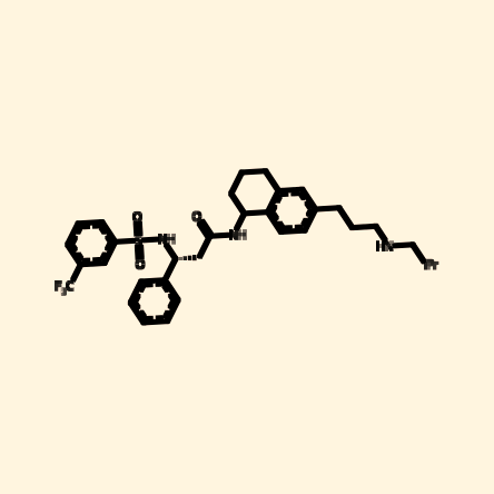 CC(C)CNCCCc1ccc2c(c1)CCCC2NC(=O)C[C@@H](NS(=O)(=O)c1cccc(C(F)(F)F)c1)c1ccccc1